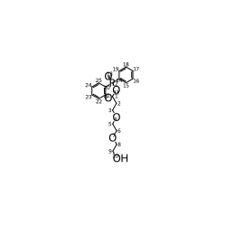 O=C(CCOCCOCCO)OP(=O)(c1ccccc1)c1ccccc1